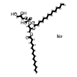 CCCCCCCCCCCCCC(=O)OCC(COP(=O)(O)OCC(O)CO)OC(=O)CCCCCCCCCCCCC.[Na]